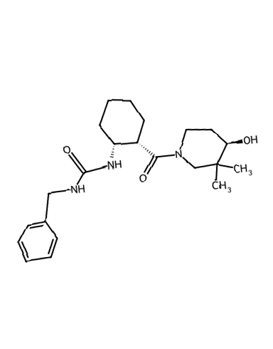 CC1(C)CN(C(=O)[C@H]2CCCC[C@H]2NC(=O)NCc2ccccc2)CC[C@H]1O